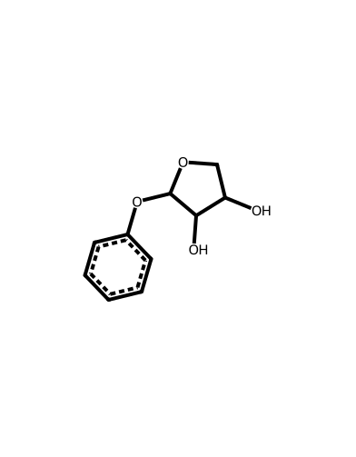 OC1COC(Oc2ccccc2)C1O